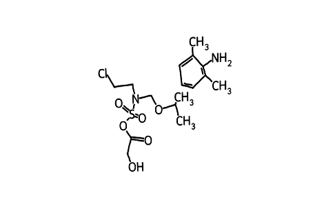 CC(C)OCN(CCCl)S(=O)(=O)OC(=O)CO.Cc1cccc(C)c1N